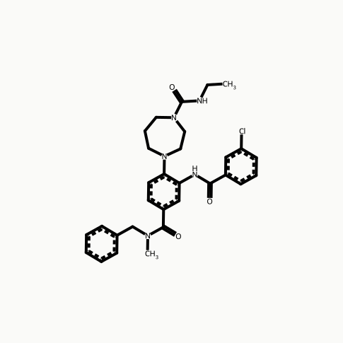 CCNC(=O)N1CCCN(c2ccc(C(=O)N(C)Cc3ccccc3)cc2NC(=O)c2cccc(Cl)c2)CC1